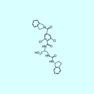 O=C(NCC(NC(=O)c1c(Cl)cc(C(=O)N2Cc3ccccc3C2)cc1Cl)C(=O)O)N[C@@H]1CCc2ccccc21